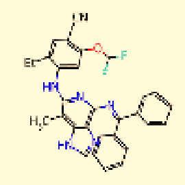 CCc1cc(C#N)c(OC(F)F)cc1Nc1nc(N=C(c2ccccc2)c2ccccc2)c2nc[nH]c2c1C